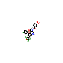 CN1CC2N(C(=O)[C@]3(C)CC[C@@H](C(=O)O)CC3)CCC2(S(=O)(=O)c2ccc(F)cc2)c2ccc(C(F)(C(F)(F)F)C(F)(F)F)cc21